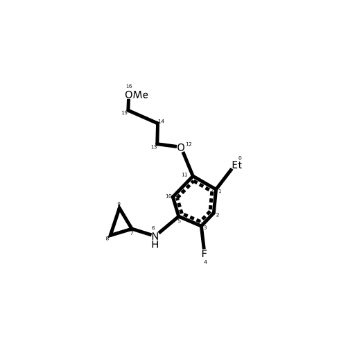 CCc1cc(F)c(NC2CC2)cc1OCCCOC